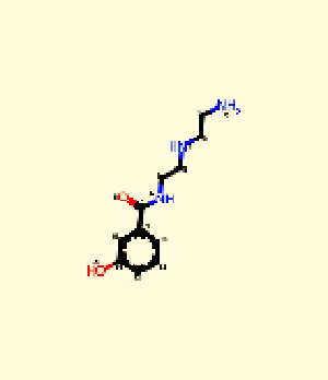 NCCNCCNC(=O)c1cccc(O)c1